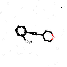 O=C(O)c1ccccc1C#CC1CCOCC1